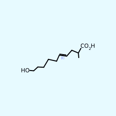 CC(C/C=C/CCCCCO)C(=O)O